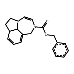 O=C(OCc1ccccc1)N1C=CN2CCC3C=CC=C(C1)C32